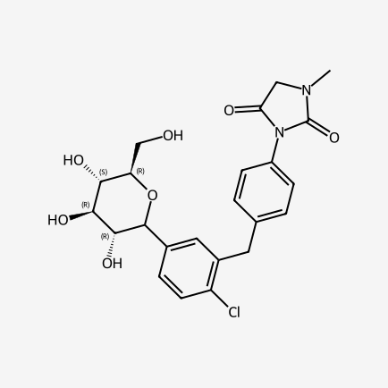 CN1CC(=O)N(c2ccc(Cc3cc(C4O[C@H](CO)[C@@H](O)[C@H](O)[C@H]4O)ccc3Cl)cc2)C1=O